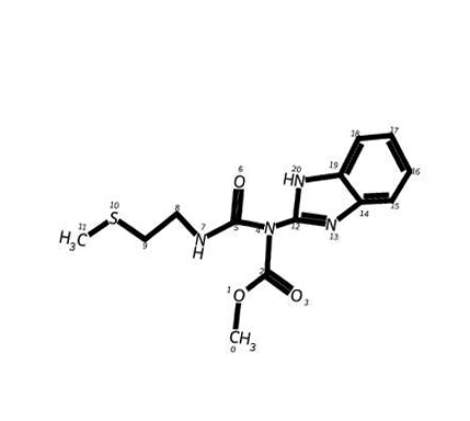 COC(=O)N(C(=O)NCCSC)c1nc2ccccc2[nH]1